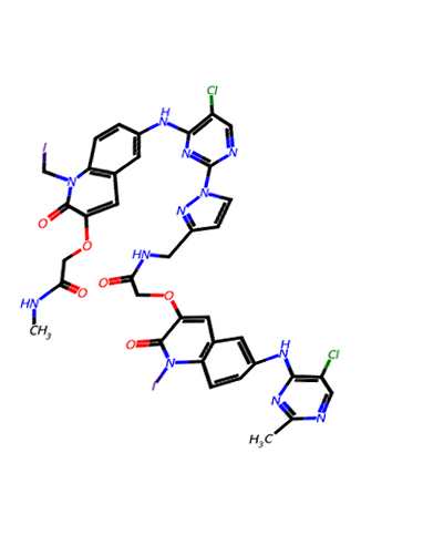 CNC(=O)COc1cc2cc(Nc3nc(-n4ccc(CNC(=O)COc5cc6cc(Nc7nc(C)ncc7Cl)ccc6n(I)c5=O)n4)ncc3Cl)ccc2n(CI)c1=O